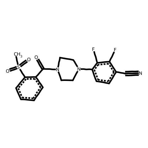 CS(=O)(=O)c1ccccc1C(=O)N1CCN(c2ccc(C#N)c(F)c2F)CC1